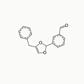 O=Cc1cccc(C2OC=C(Cc3ccccc3)O2)c1